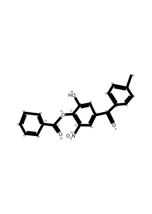 Cc1ccc(C(=O)c2cc(O)c(OC(=O)c3ccccc3)c([N+](=O)[O-])c2)cc1